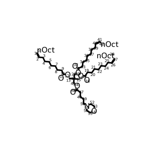 CCCCCCCC/C=C\CCCCCCCC(=O)OCC(COC(=O)CCCCCCC/C=C\CCCCCCCC)(COC(=O)CCCCCCC/C=C\CCCCCCCC)COC(=O)CCCCN1CCOCC1